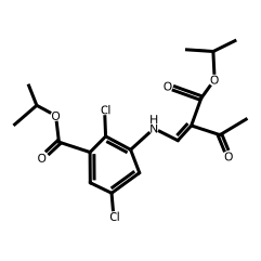 CC(=O)C(=CNc1cc(Cl)cc(C(=O)OC(C)C)c1Cl)C(=O)OC(C)C